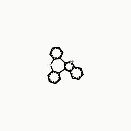 c1ccc2c(c1)Nc1ccccc1-c1c-2[nH]c2ccccc12